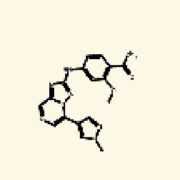 COc1cc(Nc2nc3cncc(-c4cnn(C)c4)n3n2)ccc1C(N)=O